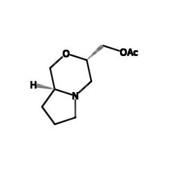 CC(=O)OC[C@@H]1CN2CCC[C@H]2CO1